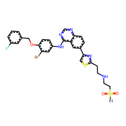 CCS(=O)(=O)CCNCCc1nc(-c2ccc3ncnc(Nc4ccc(OCc5cccc(F)c5)c(Br)c4)c3c2)cs1